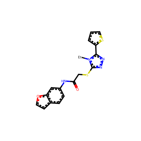 CCn1c(SCC(=O)Nc2ccc3ccoc3c2)nnc1-c1cccs1